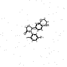 Cc1ccc(F)cc1N1C(=O)CSC1c1ccc2c(c1)OCCN2